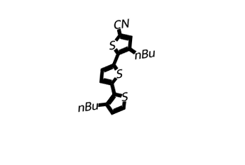 CCCCc1ccsc1-c1ccc(-c2sc(C#N)cc2CCCC)s1